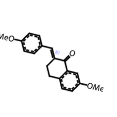 COc1ccc(/C=C2\CCc3ccc(OC)cc3C2=O)cc1